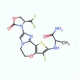 CC(Nc1sc2c(c1F)OCCn1cc(N3C(=O)OC[C@H]3C(F)F)nc1-2)C(N)=O